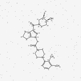 Cc1cccc(N2CCN(C(=O)Cn3nc(C(=O)N4CC[C@H](O)[C@H](F)C4)c4c3CCC4)CC2)c1C